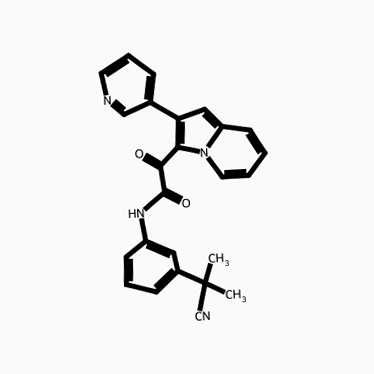 CC(C)(C#N)c1cccc(NC(=O)C(=O)c2c(-c3cccnc3)cc3ccccn23)c1